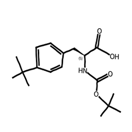 CC(C)(C)OC(=O)N[C@@H](Cc1ccc(C(C)(C)C)cc1)C(=O)O